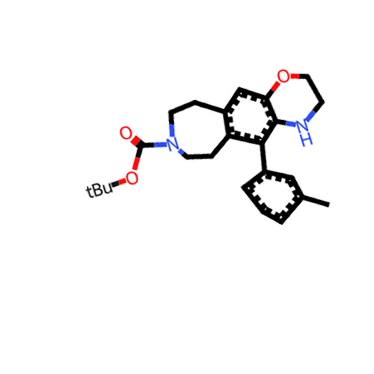 Cc1cccc(-c2c3c(cc4c2NCCO4)CCN(C(=O)OC(C)(C)C)CC3)c1